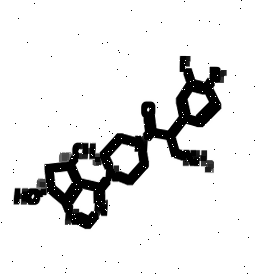 C[C@@H]1C[C@@H](O)c2ncnc(N3CCN(C(=O)C(CN)c4ccc(Br)c(F)c4)CC3)c21